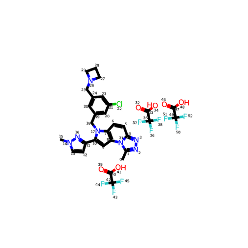 Cc1nnc2ccc3c(cc(-c4ccn(C)n4)n3Cc3cc(Cl)cc(CN4CCC4)c3)n12.O=C(O)C(F)(F)F.O=C(O)C(F)(F)F.O=C(O)C(F)(F)F